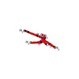 CCCCCCCCCCCCCCC=CC1=C(c2ccccc2CCCC=CCCCCCCCCCCCCCCCCCCCC)[N+](=[N-])C(c2ccc(C(=O)CCCCCCCCCCC)cc2)=C1CCCCCC.[CH3][Pd][CH3]